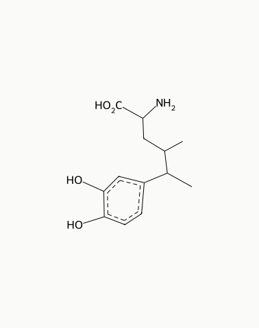 CC(CC(N)C(=O)O)C(C)c1ccc(O)c(O)c1